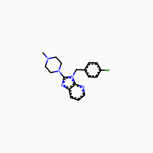 CN1CCN(c2nc3cccnc3n2Cc2ccc(F)cc2)CC1